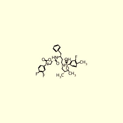 CC[C@H](C)CN(C[C@@H](O)[C@H](Cc1ccccc1)NC(=O)[C@@H]1CN(c2ccc(F)c(F)c2)C(=O)O1)S(=O)(=O)c1ccc(C)c(F)c1